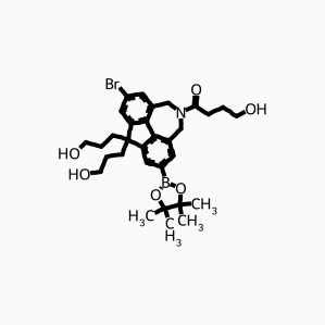 CC1(C)OB(c2cc3c4c(c2)C(CCCO)(CCCO)c2cc(Br)cc(c2-4)CN(C(=O)CCCO)C3)OC1(C)C